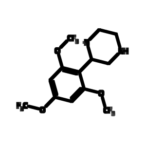 FC(F)(F)Oc1cc(OC(F)(F)F)c(C2CNCC[N]2)c(OC(F)(F)F)c1